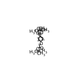 CC(C)(C)OC(=O)COC1C=CC(B2OC(C)(C)C(C)(C)O2)=CC1